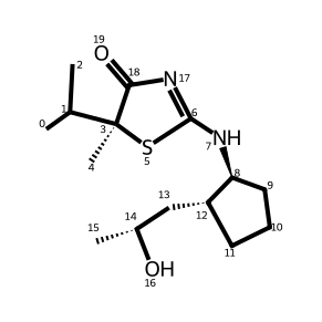 CC(C)[C@]1(C)SC(N[C@H]2CCC[C@@H]2C[C@@H](C)O)=NC1=O